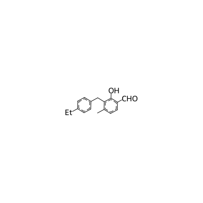 CCc1ccc(Cc2c(C)ccc(C=O)c2O)cc1